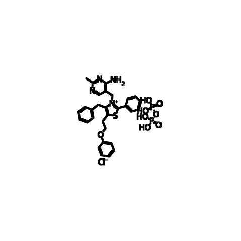 Cc1ncc(C[n+]2c(-c3ccccc3)sc(CCOc3ccccc3)c2Cc2ccccc2)c(N)n1.O=P(O)(O)OP(=O)(O)O.[Cl-]